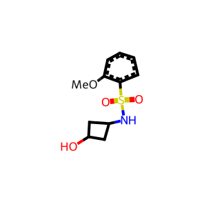 COc1ccccc1S(=O)(=O)NC1CC(O)C1